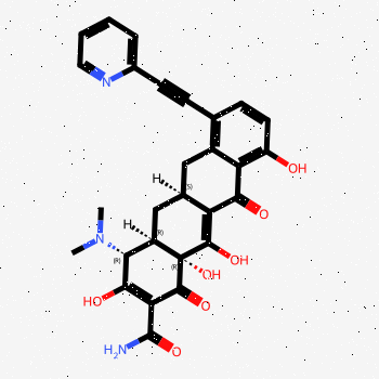 CN(C)[C@H]1C(O)=C(C(N)=O)C(=O)[C@]2(O)C(O)=C3C(=O)c4c(O)ccc(C#Cc5ccccn5)c4C[C@@H]3C[C@H]12